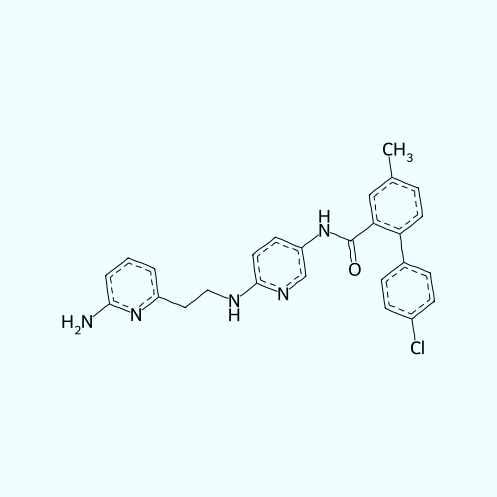 Cc1ccc(-c2ccc(Cl)cc2)c(C(=O)Nc2ccc(NCCc3cccc(N)n3)nc2)c1